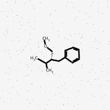 COC[C@H](Cc1ccccc1)C(C)C